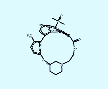 CP(C)(=O)c1c2ccc3c(c[nH]c13)-c1nc(ncc1C(F)(F)F)N[C@H]1CCCN(CCNC2=O)C1